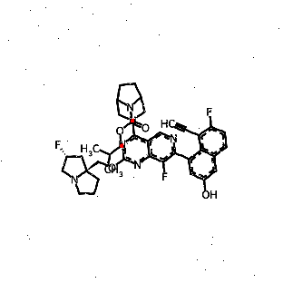 C#Cc1c(F)ccc2cc(O)cc(-c3ncc4c(N5CC6CCC(C5)N6C(=O)OCC(C)C)nc(OC[C@@]56CCCN5C[C@H](F)C6)nc4c3F)c12